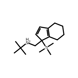 CC(C)(C)[SiH2]C[C]1([Ti]([CH3])([CH3])[CH3])C=CC2=C1CCCC2